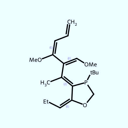 C=C\C=C(OC)/C(=C/OC)C(/C)=C1/C(=C\CC)OCP1C(C)(C)C